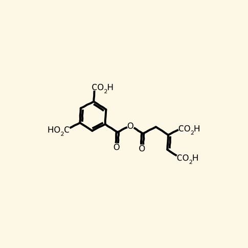 O=C(O)C=C(CC(=O)OC(=O)c1cc(C(=O)O)cc(C(=O)O)c1)C(=O)O